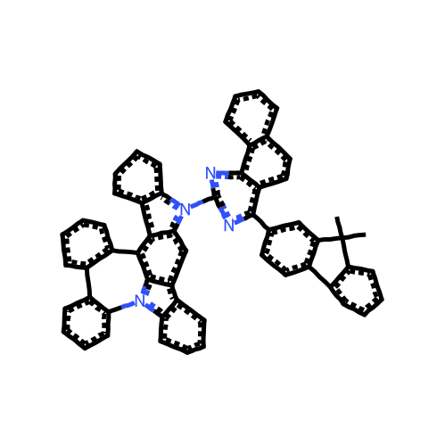 CC1(C)c2ccccc2-c2ccc(-c3nc(-n4c5ccccc5c5c6c7c(cc54)c4ccccc4n7-c4ccccc4-c4ccccc4-6)nc4c3ccc3ccccc34)cc21